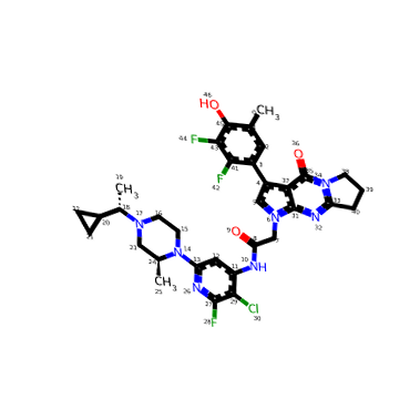 Cc1cc(-c2cn(CC(=O)Nc3cc(N4CCN([C@@H](C)C5CC5)C[C@@H]4C)nc(F)c3Cl)c3nc4n(c(=O)c23)CCC4)c(F)c(F)c1O